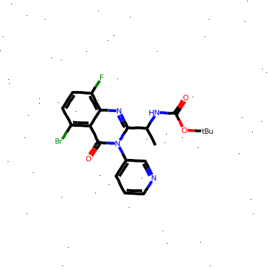 CC(NC(=O)OC(C)(C)C)c1nc2c(F)ccc(Br)c2c(=O)n1-c1cccnc1